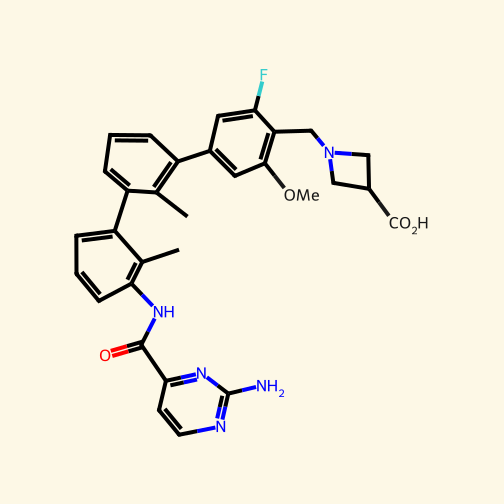 COc1cc(-c2cccc(-c3cccc(NC(=O)c4ccnc(N)n4)c3C)c2C)cc(F)c1CN1CC(C(=O)O)C1